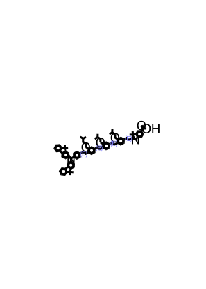 CC(C)CCOc1cc(/C=C/c2ccc(/C=C/c3ccc(/C=C/C4=Nc5ccc(C(=O)O)cc5C4(C)C)cc3OCC(C)C)cc2OCC(C)C)ccc1/C=C/c1ccc(N(c2ccc3c(c2)-c2ccccc2C3(C)C)c2ccc3c(c2)C(C)(C)c2ccccc2-3)cc1